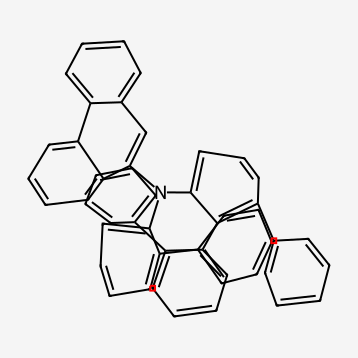 c1ccc(-c2ccccc2-c2c(-c3ccccc3)cccc2N(c2ccccc2-c2ccccc2)c2cc3ccccc3c3ccccc23)cc1